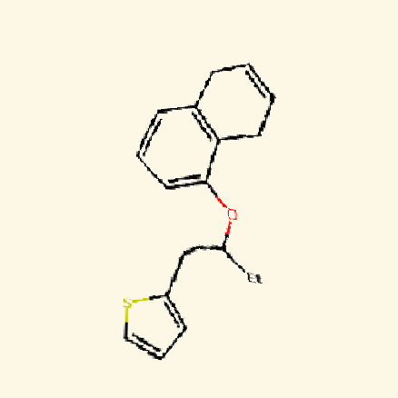 CCC(Cc1cccs1)Oc1cccc2c1CC=CC2